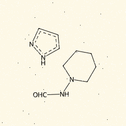 O=CNN1CCCCC1.c1cn[nH]c1